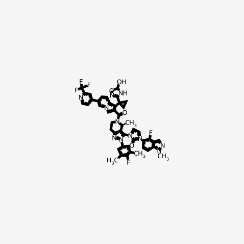 Cc1cc(-n2nc3c(c2-n2ccn(-c4ccc5c(cnn5C)c4F)c2=O)[C@H](C)N(C(=O)c2cn4cc(-c5ccnc(C(F)(F)F)c5)ccc4c2C2(C4=NOC(O)N4)CC2)CC3)cc(C)c1F